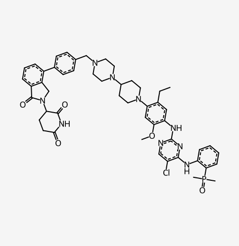 CCc1cc(Nc2ncc(Cl)c(Nc3ccccc3P(C)(C)=O)n2)c(OC)cc1N1CCC(N2CCN(Cc3ccc(-c4cccc5c4CN(C4CCC(=O)NC4=O)C5=O)cc3)CC2)CC1